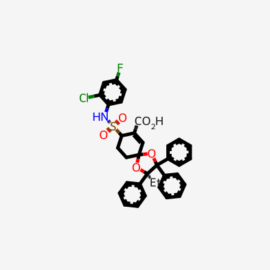 CC[C@]1(c2ccccc2)OC2(C=C(C(=O)O)C(S(=O)(=O)Nc3ccc(F)cc3Cl)CC2)OC1(c1ccccc1)c1ccccc1